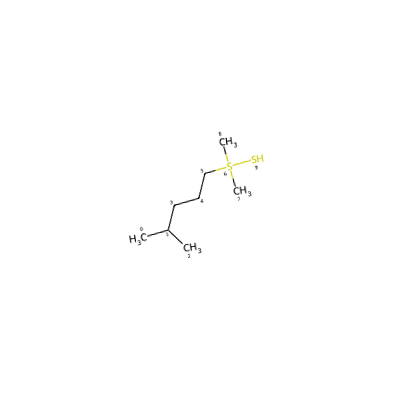 CC(C)CCCS(C)(C)S